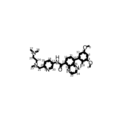 COc1cc(OC)c(F)c(-c2ccc(C(=O)Nc3ccc(CN(C)CCN(C)C)nc3)c3nccnc23)c1